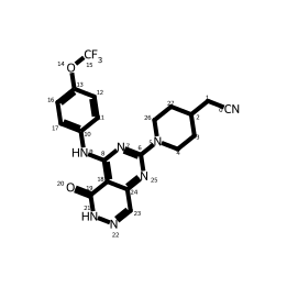 N#CCC1CCN(c2nc(Nc3ccc(OC(F)(F)F)cc3)c3c(=O)[nH]ncc3n2)CC1